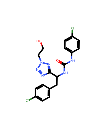 O=C(Nc1ccc(Cl)cc1)NC(Cc1ccc(Cl)cc1)c1nnn(CCO)n1